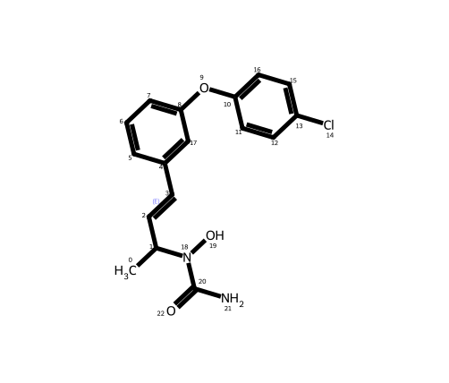 CC(/C=C/c1cccc(Oc2ccc(Cl)cc2)c1)N(O)C(N)=O